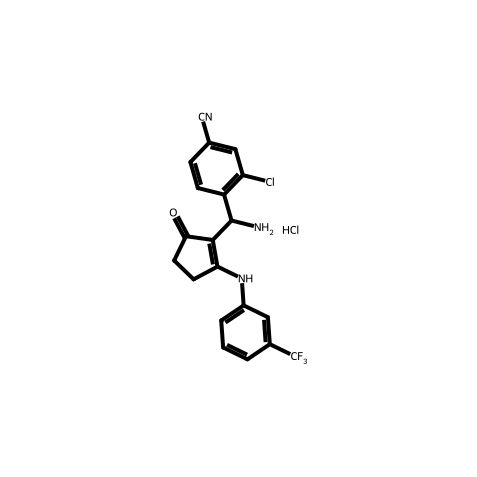 Cl.N#Cc1ccc(C(N)C2=C(Nc3cccc(C(F)(F)F)c3)CCC2=O)c(Cl)c1